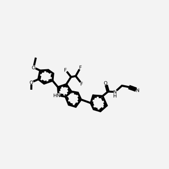 COc1ccc(-c2[nH]c3ccc(-c4cccc(C(=O)NCC#N)c4)cc3c2C(F)C(F)F)cc1OC